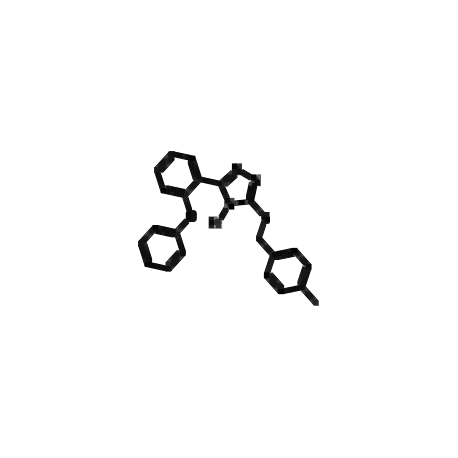 CCn1c(SCc2ccc(C)cc2)nnc1-c1ccccc1Oc1ccccc1